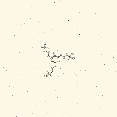 C[Si](C)(Cl)CCCC1=CN(CCC[Si](C)(C)Cl)NN(CCC[Si](C)(C)Cl)C1